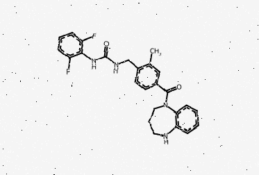 Cc1cc(C(=O)N2CCCNc3ccccc32)ccc1CNC(=O)Nc1c(F)cccc1F